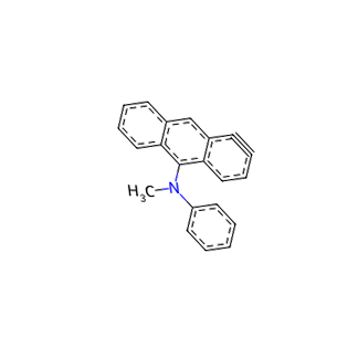 CN(c1ccccc1)c1c2ccc#cc2cc2ccccc12